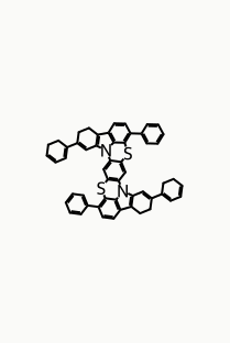 C1=CCCC(C2=Cc3c(c4ccc(-c5ccccc5)c5sc6cc7c(cc6n3c45)sc3c(-c4ccccc4)ccc4c5c(n7c43)C=C(C3=CC=CCC3)CC5)CC2)=C1